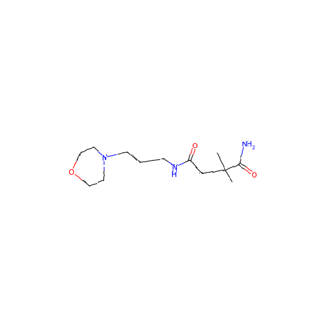 CC(C)([CH]C(=O)NCCCN1CCOCC1)C(N)=O